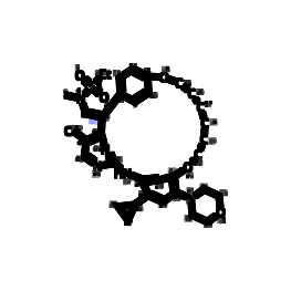 CCS(=O)(=O)N(C)/C=C1\c2ccc(cc2)OCCCCCCOc2cc(c(C3CC3)cc2N2CCOCC2)Nc2ncc(Cl)c1n2